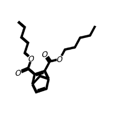 CCCCCOC(=O)C1=C(C(=O)OCCCCC)C2C=CC1C2